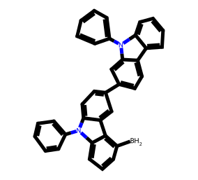 Bc1cccc2c1c1cc(-c3ccc4c5ccccc5n(-c5ccccc5)c4c3)ccc1n2-c1ccccc1